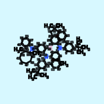 Cc1cc2c3c(c1)N(c1ccc(C(C)(C)C)cc1-c1ccccc1)c1cc4c(cc1B3c1ccc(N3c5ccccc5C5(C)CCCCCCC35C)cc1N2c1ccc(C(C)(C)C)cc1-c1ccccc1)CC(C)(C)C4